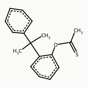 CC(=S)Oc1ccccc1C(C)(C)c1ccccc1